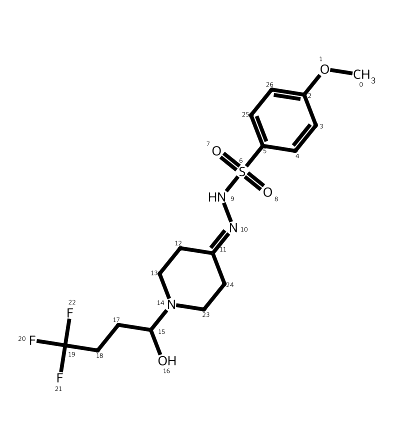 COc1ccc(S(=O)(=O)NN=C2CCN(C(O)CCC(F)(F)F)CC2)cc1